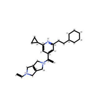 C=CN1CC2=C(C1)CN(C(=C)c1cc(CCC3CCCCC3)nc(C3CC3)c1)C2